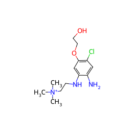 C[N+](C)(C)CCNc1cc(OCCO)c(Cl)cc1N